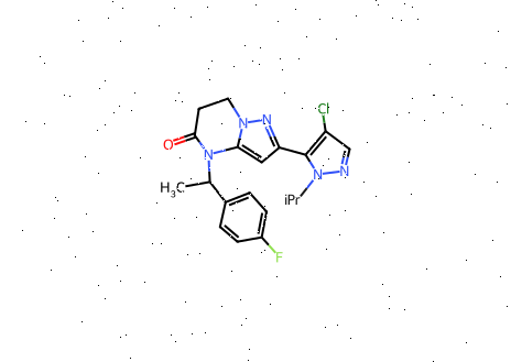 CC(c1ccc(F)cc1)N1C(=O)CCn2nc(-c3c(Cl)cnn3C(C)C)cc21